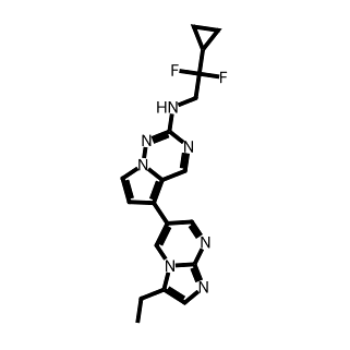 CCc1cnc2ncc(-c3ccn4nc(NCC(F)(F)C5CC5)ncc34)cn12